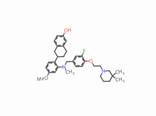 COc1ccc(C2CCc3cc(O)ccc3C2)c(N(C)Cc2ccc(OCCN3CCCC(C)(C)C3)c(F)c2)c1